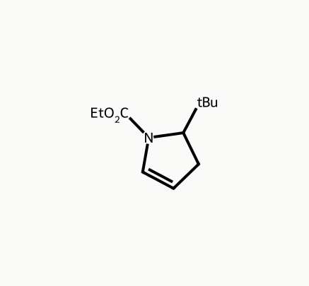 CCOC(=O)N1C=CCC1C(C)(C)C